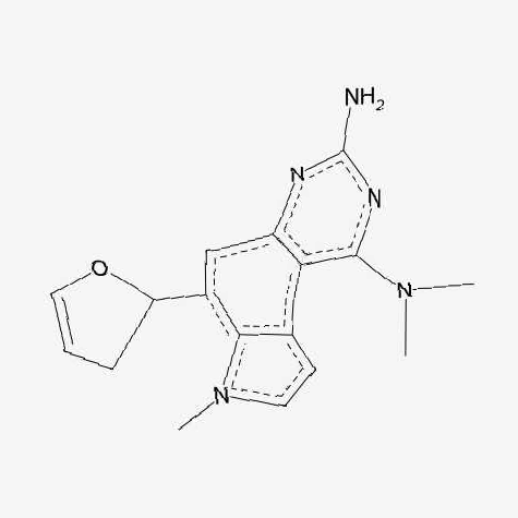 CN(C)c1nc(N)nc2cc(C3CC=CO3)c3c(ccn3C)c12